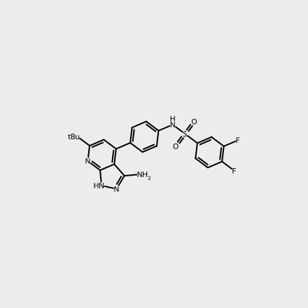 CC(C)(C)c1cc(-c2ccc(NS(=O)(=O)c3ccc(F)c(F)c3)cc2)c2c(N)n[nH]c2n1